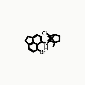 CC12CCC(C(Cl)=C1Nc1ccc3c4c(ccc(Br)c14)CC3)C2(C)C